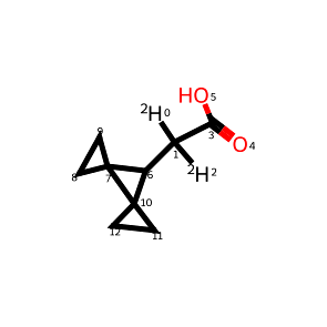 [2H]C([2H])(C(=O)O)C1C2(CC2)C12CC2